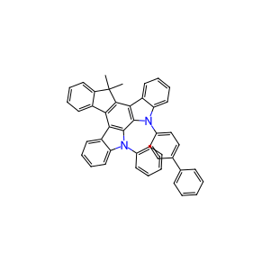 CC1(C)c2ccccc2-c2c1c1c3ccccc3n(-c3ccc(-c4ccccc4)cc3)c1c1c2c2ccccc2n1-c1ccccc1